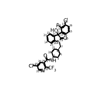 O=C(N[C@H]1CC[C@H](CN2C(=O)C(O)(c3cccc(Cl)c3F)c3ccccc32)CC1)c1cc(Cl)cnc1C(F)(F)F